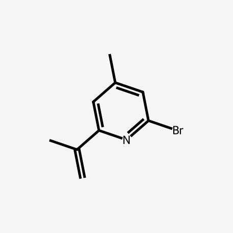 C=C(C)c1cc(C)cc(Br)n1